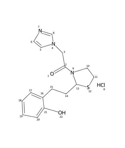 Cl.O=C(Cn1ccnc1)N1CCSC1CCc1ccccc1O